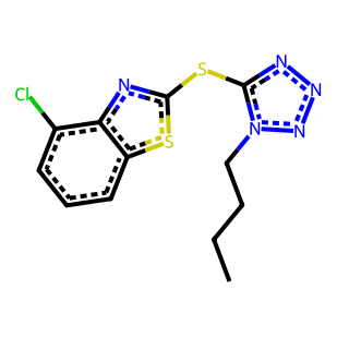 CCCCn1nnnc1Sc1nc2c(Cl)cccc2s1